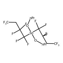 CCC[O][Sn]([O]CCC)([C](F)(F)C(F)(F)CC(F)(F)F)[C](F)(F)C(F)(F)CC(F)(F)F